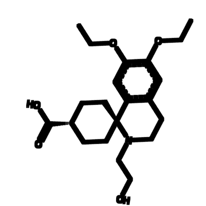 CCOc1cc2c(cc1OCC)[C@]1(CC[C@@H](C(=O)O)CC1)N(CCO)CC2